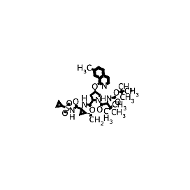 C=C[C@@H]1C[C@]1(NC(=O)C1C[C@@H](Oc2nccc3ccc(C)cc23)CN1C(=O)[C@@H](NC(=O)OC(C)(C)C)C(C)(C)C)C(=O)NS(=O)(=O)C1CC1